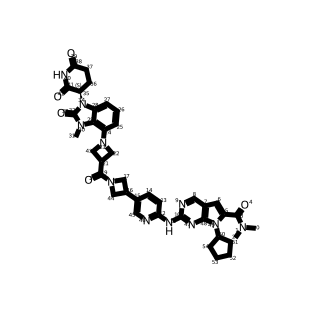 CN(C)C(=O)c1cc2cnc(Nc3ccc(C4CN(C(=O)C5CN(c6cccc7c6n(C)c(=O)n7[C@H]6CCC(=O)NC6=O)C5)C4)cn3)nc2n1C1CCCC1